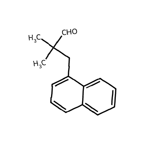 CC(C)(C=O)Cc1cccc2ccccc12